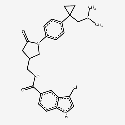 CN(C)CC1(c2ccc(N3CC(CNC(=O)c4ccc5[nH]cc(Cl)c5c4)CC3=O)cc2)CC1